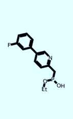 CCOP(O)Cc1ccc(-c2cccc(F)c2)cn1